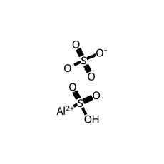 O=S(=O)([O-])[O-].O=[S](=O)(O)[Al+2]